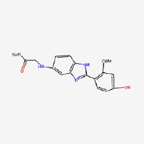 CNC(=O)CNc1ccc2[nH]c(-c3ccc(O)cc3OC)nc2c1